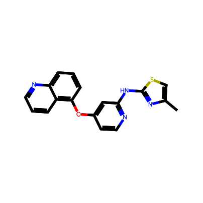 Cc1csc(Nc2cc(Oc3cccc4ncccc34)ccn2)n1